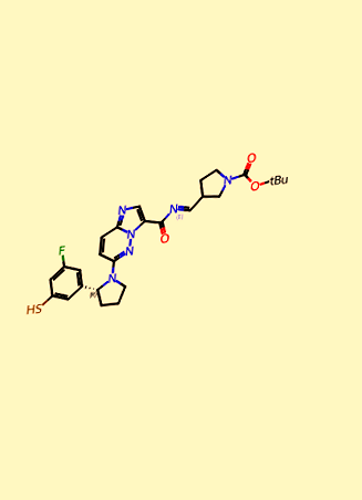 CC(C)(C)OC(=O)N1CCC(/C=N/C(=O)c2cnc3ccc(N4CCC[C@@H]4c4cc(F)cc(S)c4)nn23)C1